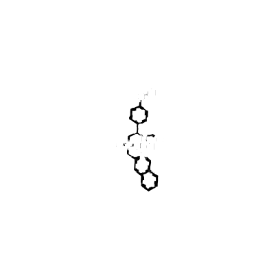 COc1ccc(C(CS(=O)(=O)Cc2cc3ccccc3cn2)N(O)C=O)cc1